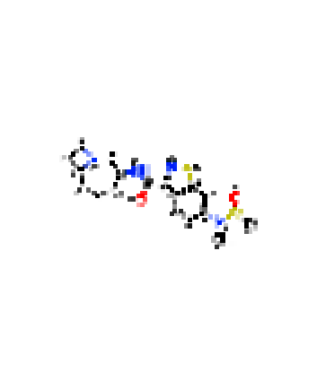 CC[S+]([O-])N(C)c1ccc2c(C(=O)N[C@H]3CCCC4CCN4C3)nsc2c1